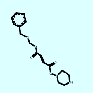 O=C(/C=C/C(=O)ON1CCNCC1)OCOCc1ccccc1